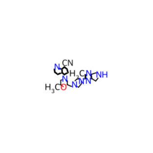 Cc1nc2c(nc1N1CCN(CC3CN(c4ccc(C#N)c5ncccc45)CC(C)O3)CC1)CCNC2